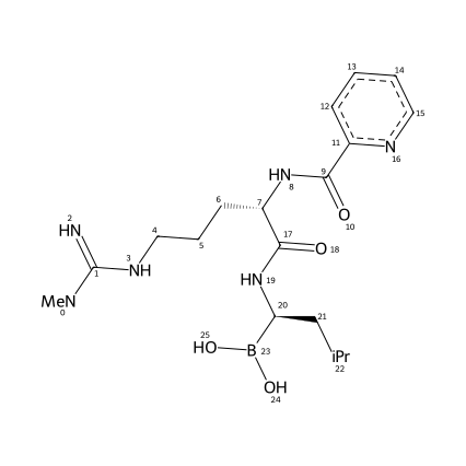 CNC(=N)NCCC[C@H](NC(=O)c1ccccn1)C(=O)N[C@@H](CC(C)C)B(O)O